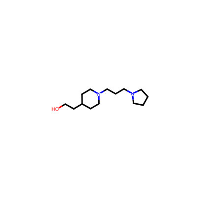 OCCC1CCN(CCCN2CCCC2)CC1